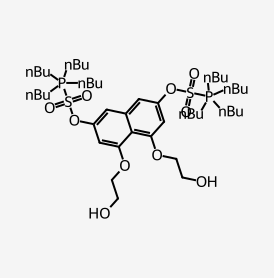 CCCCP(CCCC)(CCCC)(CCCC)S(=O)(=O)Oc1cc(OCCO)c2c(OCCO)cc(OS(=O)(=O)P(CCCC)(CCCC)(CCCC)CCCC)cc2c1